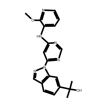 COc1ncccc1Nc1cc(-n2ncc3ccc(C(C)(C)O)cc32)ncn1